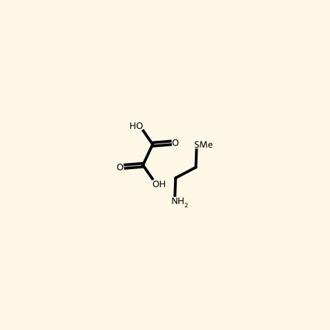 CSCCN.O=C(O)C(=O)O